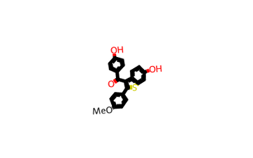 COc1ccc(-c2sc3cc(O)ccc3c2C(=O)c2ccc(O)cc2)cc1